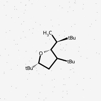 C[C@H]([C@H]1O[C@@H](C(C)(C)C)CC1C(C)(C)C)C(C)(C)C